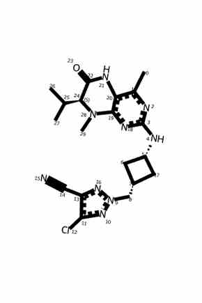 Cc1nc(N[C@H]2C[C@@H](Cn3nc(Cl)c(C#N)n3)C2)nc2c1NC(=O)[C@H](C(C)C)N2C